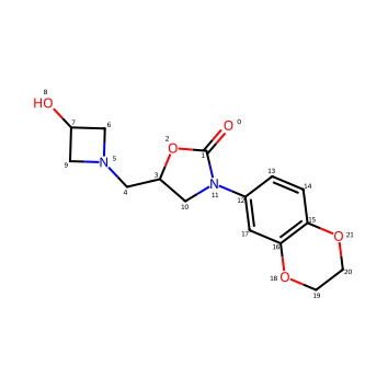 O=C1OC(CN2CC(O)C2)CN1c1ccc2c(c1)OCCO2